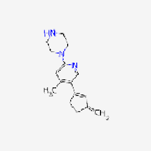 C=C1C=C(c2cnc(N3CCNCC3)cc2C)CC1